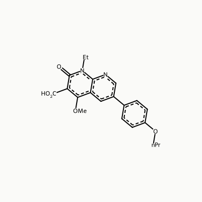 CCCOc1ccc(-c2cnc3c(c2)c(OC)c(C(=O)O)c(=O)n3CC)cc1